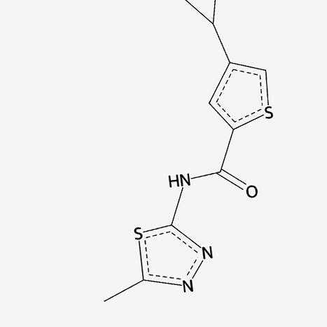 Cc1nnc(NC(=O)c2cc(C3CC3)cs2)s1